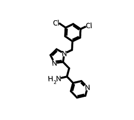 NC(Cc1nccn1Cc1cc(Cl)cc(Cl)c1)c1cccnc1